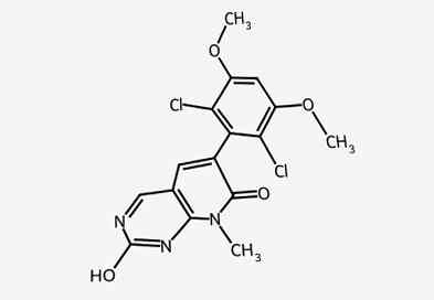 COc1cc(OC)c(Cl)c(-c2cc3cnc(O)nc3n(C)c2=O)c1Cl